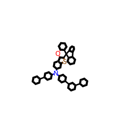 c1ccc(-c2ccc(N(c3ccc(-c4cccc(-c5ccccc5)c4)cc3)c3ccc4c5c(sc4c3)C3(c4ccccc4O5)c4ccccc4-c4ccccc43)cc2)cc1